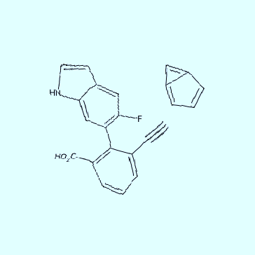 C#Cc1cccc(C(=O)O)c1-c1cc2[nH]ccc2cc1F.c1cc2cc-2c1